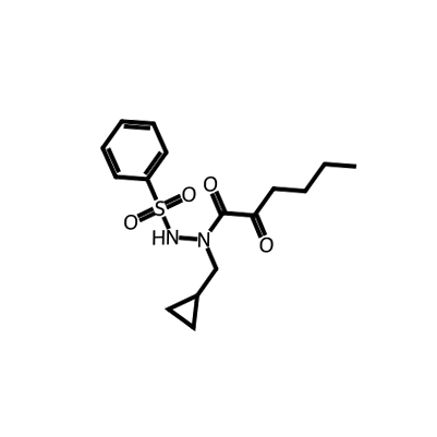 CCCCC(=O)C(=O)N(CC1CC1)NS(=O)(=O)c1ccccc1